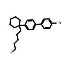 N#Cc1ccc(-c2ccc(C3(CCCCCF)CCCCC3)cc2)cc1